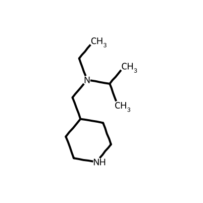 CCN(CC1CCNCC1)C(C)C